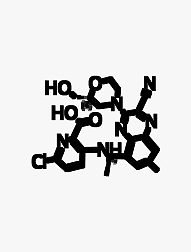 Cc1cc([C@@H](C)Nc2ccc(Cl)nc2C(=O)O)c2nc(N3CCO[C@@H](CO)C3)c(C#N)nc2c1